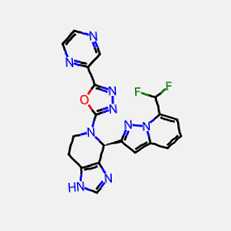 FC(F)c1cccc2cc([C@H]3c4nc[nH]c4CCN3c3nnc(-c4cnccn4)o3)nn12